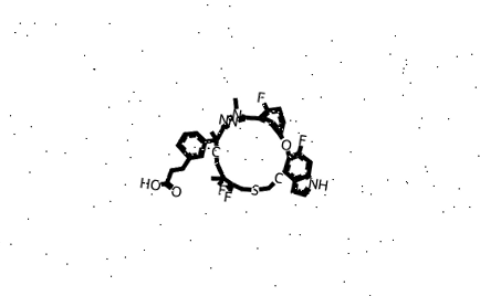 Cn1nc2nc1-c1cc(ccc1F)Oc1c(F)cc3[nH]ccc3c1CCSCC(F)(F)C(C)(C)CCC2(C)c1cccc(CCC(=O)O)c1